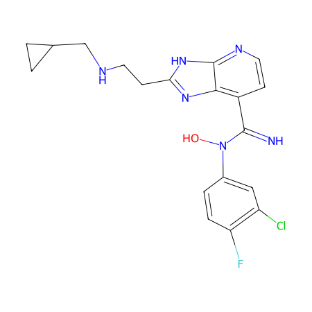 N=C(c1ccnc2[nH]c(CCNCC3CC3)nc12)N(O)c1ccc(F)c(Cl)c1